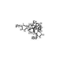 CCC1=Cc2c(-c3ccc(C(C)C)cc3)cccc2[CH]1[Zr]([Cl])([Cl])([CH]1C(C2CCCC2)=Cc2c(C(C)CC)cccc21)[SiH](C)C